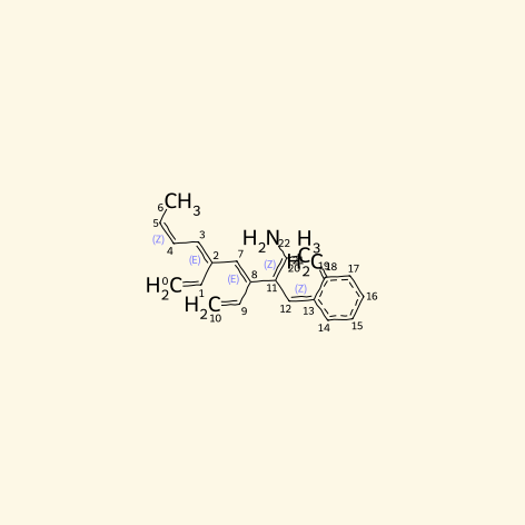 C=CC(=C\C=C/C)/C=C(C=C)/C(/C=c1/ccccc1=C)=C(/C)N